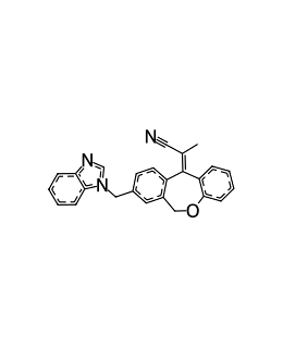 C/C(C#N)=C1/c2ccc(Cn3cnc4ccccc43)cc2COc2ccccc21